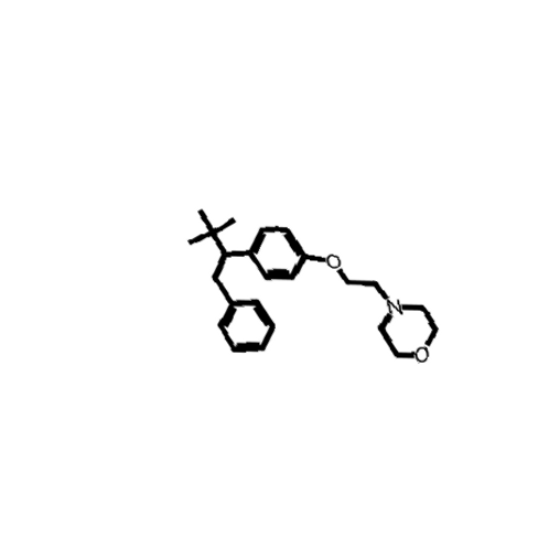 CC(C)(C)[C](Cc1ccccc1)c1ccc(OCCN2CCOCC2)cc1